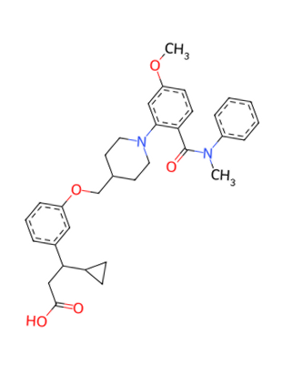 COc1ccc(C(=O)N(C)c2ccccc2)c(N2CCC(COc3cccc(C(CC(=O)O)C4CC4)c3)CC2)c1